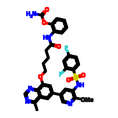 COc1ncc(-c2cc(OCCCCC(=O)Nc3ccccc3OC(N)=O)c3ncnc(C)c3c2)cc1NS(=O)(=O)c1ccc(F)cc1F